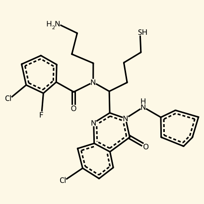 NCCCN(C(=O)c1cccc(Cl)c1F)C(CCCS)c1nc2cc(Cl)ccc2c(=O)n1Nc1ccccc1